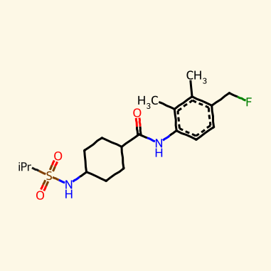 Cc1c(CF)ccc(NC(=O)C2CCC(NS(=O)(=O)C(C)C)CC2)c1C